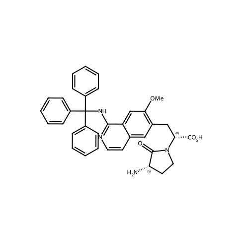 COc1cc2c(NC(c3ccccc3)(c3ccccc3)c3ccccc3)nccc2cc1C[C@H](C(=O)O)N1CC[C@H](N)C1=O